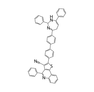 N#Cc1c(-c2ccc(-c3ccc(C4=NC(c5ccccc5)NC(c5ccccc5)=CC4)cc3)cc2)sc2c1c(-c1ccccc1)nc1ccccc12